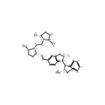 CC[C@@H]1CC[C@@H](CCc2ccc3c(c2)C[P@](C)[C@H]3[C@H]2c3ccccc3C[P@]2C(C)(C)C)P1CCP1[C@H](CC)CC[C@H]1CC